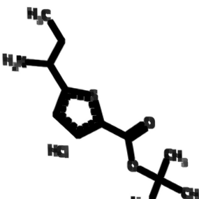 CCC(N)c1ccc(C(=O)OC(C)(C)C)s1.Cl